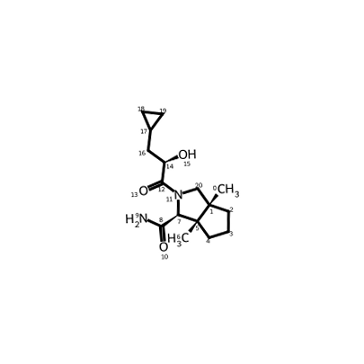 C[C@@]12CCC[C@]1(C)[C@@H](C(N)=O)N(C(=O)[C@H](O)CC1CC1)C2